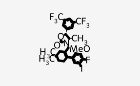 COc1cc(F)c(I)cc1C1=C(CN2C(=O)O[C@H](c3cc(C(F)(F)F)cc(C(F)(F)F)c3)[C@@H]2C)CC(C)(C)CC1